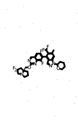 Cc1cc2c(cnn2C2CCCCO2)c(-c2c(F)cc3cnc(OC[C@@]45CCCN4C[C@H](F)C5)nc3c2F)c1C(F)F